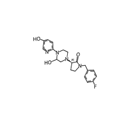 O=C1[C@H](N2CCN(c3ccc(O)cn3)C(O)C2)CCN1Cc1ccc(F)cc1